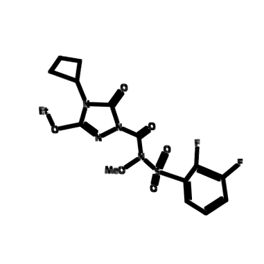 CCOc1nn(C(=O)N(OC)S(=O)(=O)c2cccc(F)c2F)c(=O)n1C1CCC1